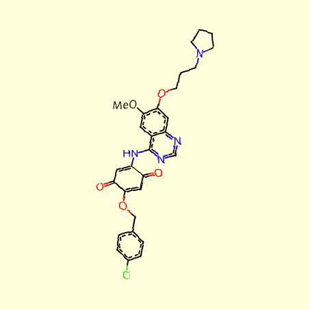 COc1cc2c(NC3=CC(=O)C(OCc4ccc(Cl)cc4)=CC3=O)ncnc2cc1OCCCN1CCCC1